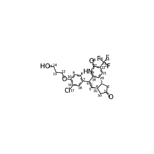 O=C1CC[C@H](/C=C(/c2ccc(OCCCO)c(Cl)c2)c2ccc(C(F)(F)F)c(=O)[nH]2)C1